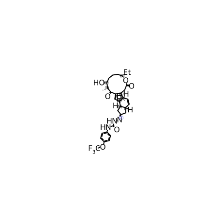 CC[C@H]1CCC[C@H](O)[C@@H](C)C(=O)C2=C[C@@H]3[C@@H](C=C[C@@H]4C/C(=N/NC(=O)Nc5ccc(OC(F)(F)F)cc5)C[C@@H]34)[C@@H]2CC(=O)O1